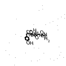 NCC(=O)NCC(=O)NCC(=O)N[C@@H](Cc1ccc(O)cc1)C(=O)O